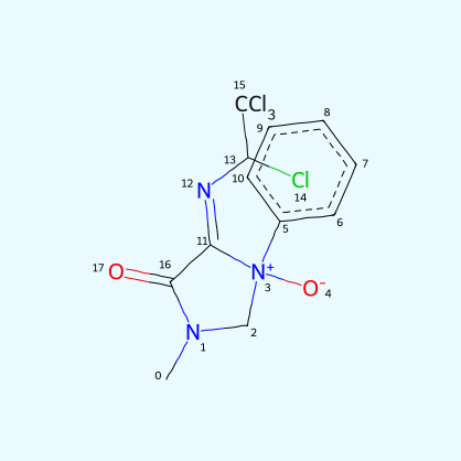 CN1C[N+]([O-])(c2ccccc2)/C(=N\C(Cl)C(Cl)(Cl)Cl)C1=O